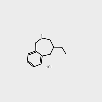 CCC1CNCc2ccccc2C1.Cl